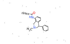 CCCCCCC(=O)Nc1cccc2c1CN(C)CC2c1ccccc1